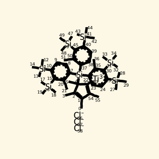 CC1=C(C)C(C)([Si](c2ccc([Si](C)(C)C)c([Si](C)(C)C)c2C)(c2ccc([Si](C)(C)C)c([Si](C)(C)C)c2C)c2ccc([Si](C)(C)C)c([Si](C)(C)C)c2C)[C]([Ti+3])=C1C.[Cl-].[Cl-].[Cl-]